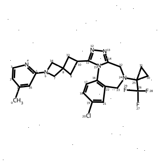 Cc1ccnc(N2CC3(CC(c4nnc5n4-c4ccc(Cl)cc4CN(C4(C(F)(F)F)CC4)C5)C3)C2)c1